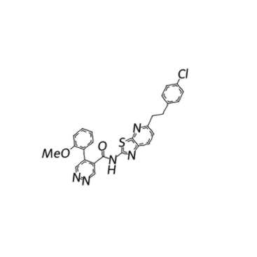 COc1ccccc1-c1cnncc1C(=O)Nc1nc2ccc(CCc3ccc(Cl)cc3)nc2s1